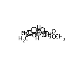 C=C1C[C@@]2(C)C(=CC1=O)CC[C@H]1[C@@H]3CC[C@@](O)(CCC(=O)OC)[C@@]3(C)C[C@H]3O[C@]312